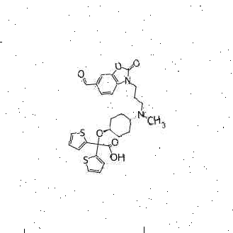 CN(CCCn1c(=O)oc2cc(C=O)ccc21)[C@H]1CC[C@H](OC(C(=O)O)(c2cccs2)c2cccs2)CC1